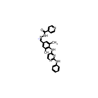 Cc1cc(/C=N\NC(=O)c2ccncc2)cc(C)c1Nc1ccnc(Nc2ccccc2)n1